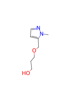 Cn1nccc1COCCCO